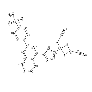 N#CCC1(n2ccc(-c3nc(-c4ccc(S(N)(=O)=O)nc4)cc4ncccc34)n2)CC(C#N)C1